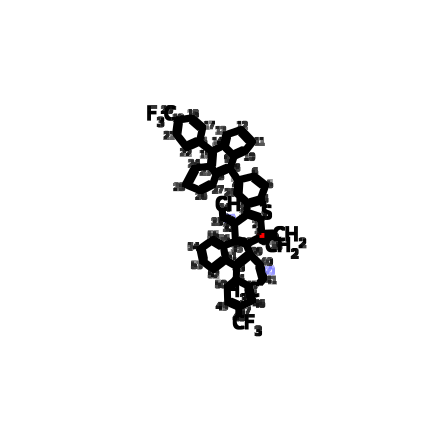 C=Cc1sc2ccc(-c3c4ccccc4c(-c4ccc(C(F)(F)F)cc4)c4ccccc34)cc2c1/C(=C\C)c1c(C=C)c(/C=C\C)c(-c2ccc(C(F)(F)F)cc2)c2ccccc12